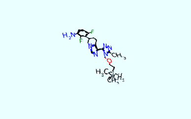 Cc1nnc(-c2ncn3c2CCC(c2c(F)ccc(N)c2F)C3)n1COCC[Si](C)(C)C